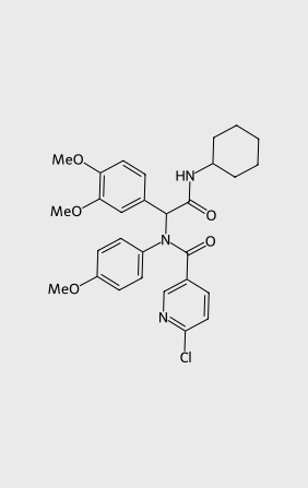 COc1ccc(N(C(=O)c2ccc(Cl)nc2)C(C(=O)NC2CCCCC2)c2ccc(OC)c(OC)c2)cc1